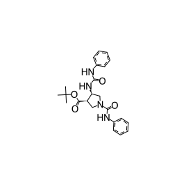 CC(C)(C)OC(=O)[C@@H]1CN(C(=O)Nc2ccccc2)C[C@@H]1NC(=O)Nc1ccccc1